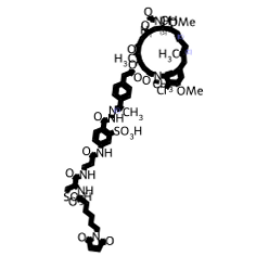 COc1cc2cc(c1Cl)N(C)C(=O)C[C@H](OC(=O)Cc1ccc(/C(C)=N/NC(=O)c3ccc(NC(=O)CCNC(=O)C(CS(=O)(=O)O)NC(=O)CCCCCN4C(=O)C=CC4=O)cc3S(=O)(=O)O)cc1)C1(C)OC1C[C@@H]1C[C@@](O)(NC(=O)O1)[C@H](OC)/C=C/C=C(\C)C2